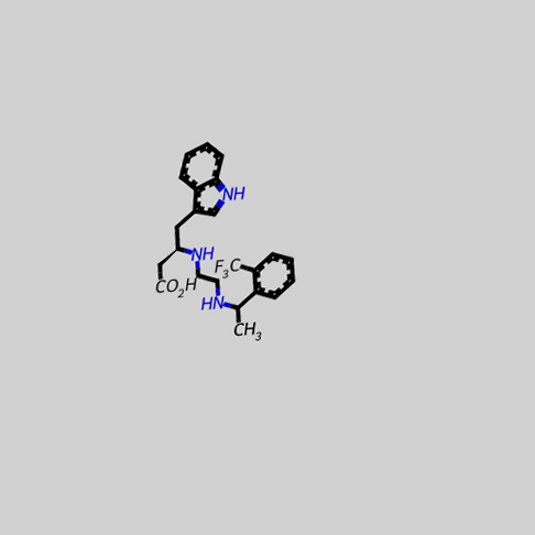 CC(NCCN[C@@H](CC(=O)O)Cc1c[nH]c2ccccc12)c1ccccc1C(F)(F)F